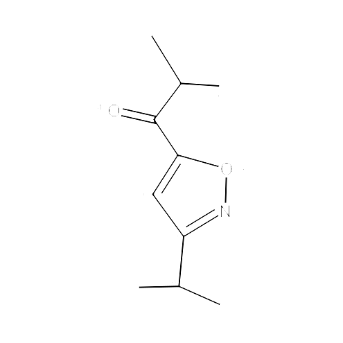 CC(C)C(=O)c1cc(C(C)C)no1